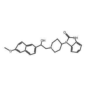 COc1ccc2cc(C(O)CN3CCC(n4c(=O)[nH]c5ccccc54)CC3)ccc2c1